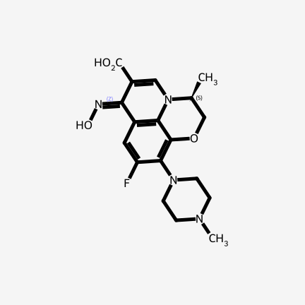 C[C@H]1COc2c(N3CCN(C)CC3)c(F)cc3/c(=N\O)c(C(=O)O)cn1c23